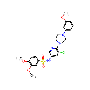 COc1cccc(N2CCN(c3ncc(NS(=O)(=O)c4ccc(OC)c(OC)c4)cc3Cl)CC2)c1